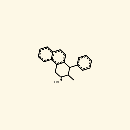 Br.CC1NCc2c(ccc3ccccc23)C1c1ccccc1